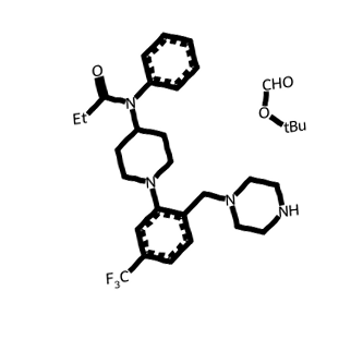 CC(C)(C)OC=O.CCC(=O)N(c1ccccc1)C1CCN(c2cc(C(F)(F)F)ccc2CN2CCNCC2)CC1